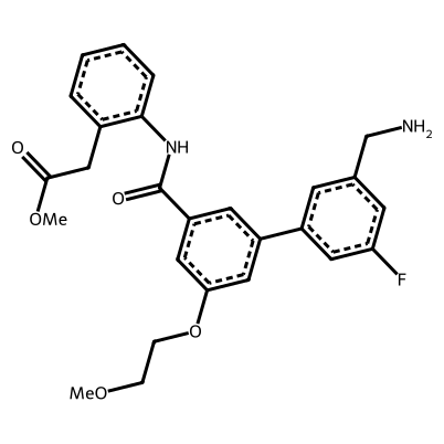 COCCOc1cc(C(=O)Nc2ccccc2CC(=O)OC)cc(-c2cc(F)cc(CN)c2)c1